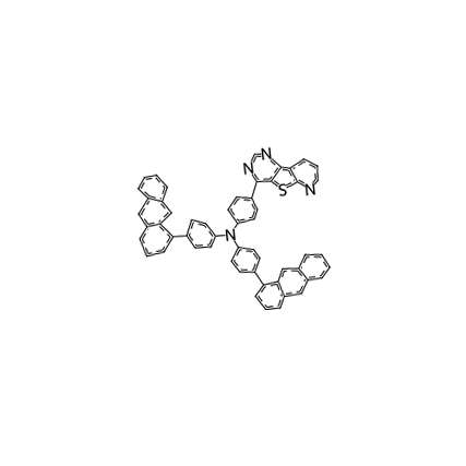 c1ccc2cc3c(-c4ccc(N(c5ccc(-c6cccc7cc8ccccc8cc67)cc5)c5ccc(-c6ncnc7c6sc6ncccc67)cc5)cc4)cccc3cc2c1